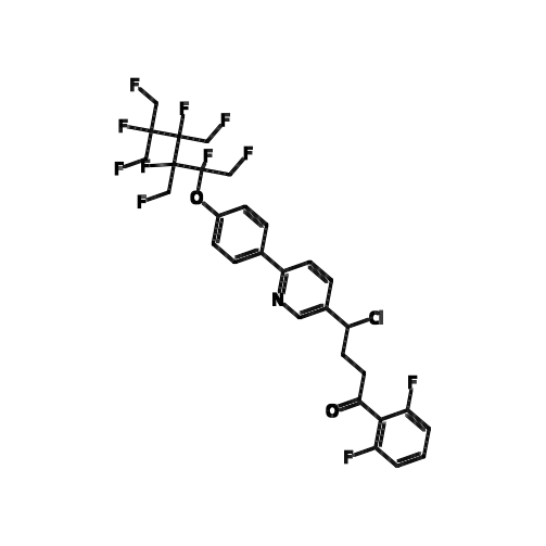 O=C(CCC(Cl)c1ccc(-c2ccc(OC(F)(CF)C(F)(CF)C(F)(CF)C(F)(CF)CF)cc2)nc1)c1c(F)cccc1F